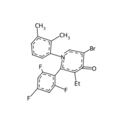 CCc1c(-c2c(F)cc(F)cc2F)n(-c2cccc(C)c2C)cc(Br)c1=O